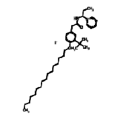 CCCCCCCCCCCCCCCCOc1ccc(CC(=O)NC(CC)[n+]2ccccc2)cc1C(C)(C)C.[I-]